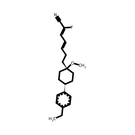 CCc1ccc([C@H]2CC[C@@](CCC=CC=C(F)C#N)(OC)CC2)cc1